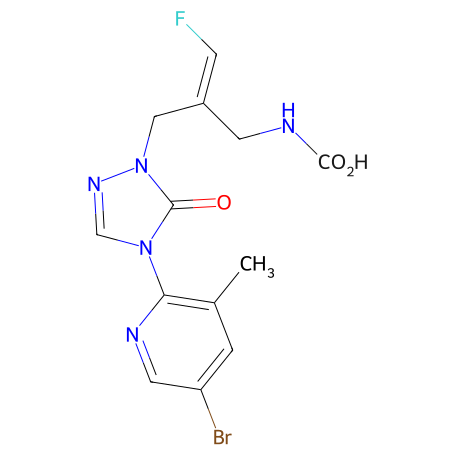 Cc1cc(Br)cnc1-n1cnn(C/C(=C\F)CNC(=O)O)c1=O